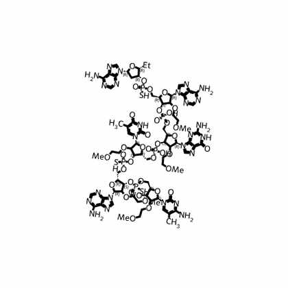 CC[C@H]1O[C@@H](n2cnc3c(N)ncnc32)C[C@H]1OP(=O)(S)OC[C@H]1O[C@@H](n2cnc3c(N)ncnc32)C(OCCOC)[C@H]1OP(=O)(O)OC[C@H]1O[C@@H](n2cnc3c(=O)[nH]c(N)nc32)C(OCCOC)[C@H]1OP(=O)(O)OC[C@H]1O[C@@H](n2cc(C)c(=O)[nH]c2=O)C(OCCOC)[C@H]1OP(=O)(S)OC[C@H]1O[C@@H](n2cnc3c(N)ncnc32)C(OCCOC)[C@H]1OP(=O)(S)OC[C@H]1O[C@@H](n2cc(C)c(N)nc2=O)C(OCCOC)[C@H]1O